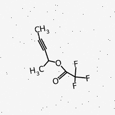 CC#CC(C)OC(=O)C(F)(F)F